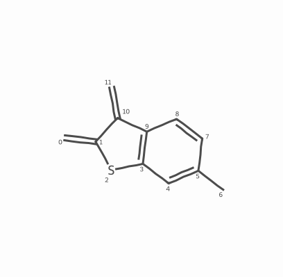 C=c1sc2cc(C)ccc2c1=C